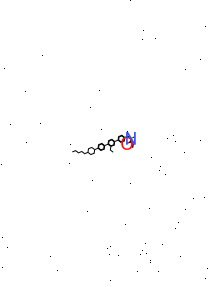 C=CC(=O)N(C)Cc1ccc(-c2ccc(-c3ccc(C4CCC(CCCCC)CC4)cc3)c(CC)c2)cc1